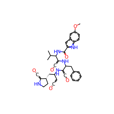 COc1ccc2[nH]c(C(=O)NC(C(=C=O)NC(Cc3ccccc3)C(=C=O)NC(C=C=O)C[C@@H]3CCNC3=C=O)C(C)C)cc2c1